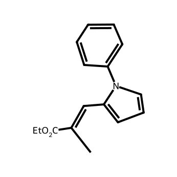 CCOC(=O)/C(C)=C/c1cccn1-c1ccccc1